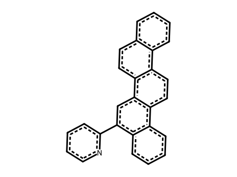 c1ccc(-c2cc3c(ccc4c5ccccc5ccc43)c3ccccc23)nc1